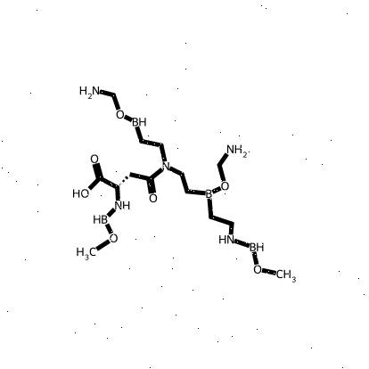 COBNCCB(CCN(CCBOCN)C(=O)C[C@H](NBOC)C(=O)O)OCN